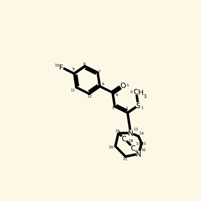 CSC(=CC(=O)c1ccc(F)cc1)N1CCN2CCC1CC2